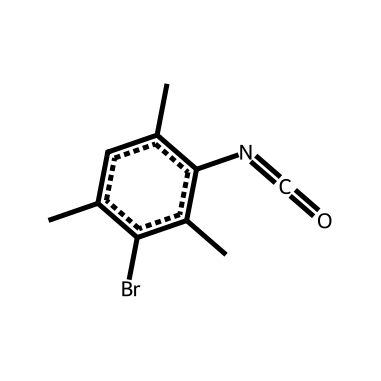 Cc1cc(C)c(N=C=O)c(C)c1Br